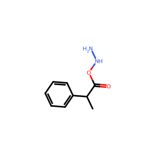 CC(C(=O)ONN)c1ccccc1